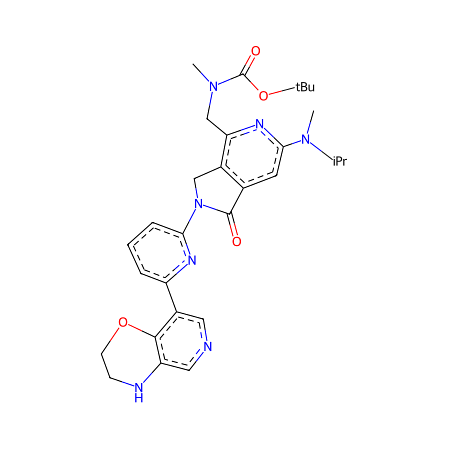 CC(C)N(C)c1cc2c(c(CN(C)C(=O)OC(C)(C)C)n1)CN(c1cccc(-c3cncc4c3OCCN4)n1)C2=O